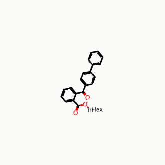 CCCCCCOC(=O)c1ccccc1C(=O)c1ccc(-c2ccccc2)cc1